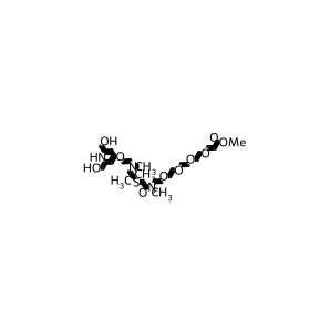 COC(=O)CCOCCOCCOCCOCCN(C)C(=O)CSC(C)(C)CN(C)CCOC1=CC(CO)NC(CO)=C1